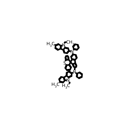 CCn1c2cc(C)ccc2c2ccc(N(c3ccccc3)c3ccc4c(c3)C3(c5ccccc5Sc5ccccc53)c3cc(N(c5ccccc5)c5ccc6c7ccc(C)cc7n(CC)c6c5)ccc3-4)cc21